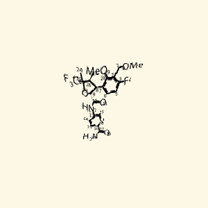 COCc1c(F)ccc([C@H]2[C@H](C(=O)Nc3ccc(C(N)=O)nc3)O[C@@](C)(C(F)(F)F)[C@H]2C)c1OC